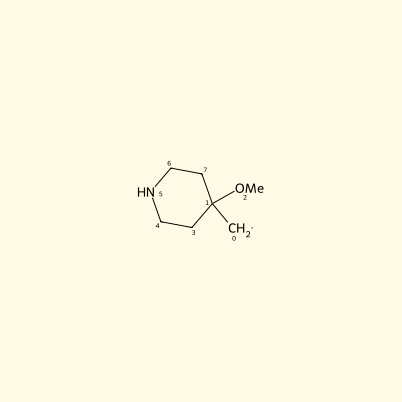 [CH2]C1(OC)CCNCC1